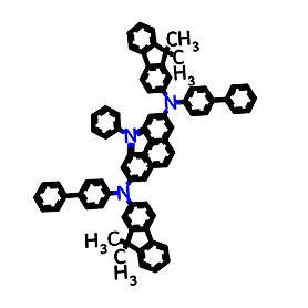 CC1(C)c2ccccc2-c2ccc(N(c3ccc(-c4ccccc4)cc3)c3cc4ccc5cc(N(c6ccc(-c7ccccc7)cc6)c6ccc7c(c6)C(C)(C)c6ccccc6-7)cc6c5c4c(c3)n6-c3ccccc3)cc21